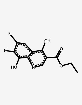 CCOC(=O)c1cnc2c(O)c(F)c(F)cc2c1O